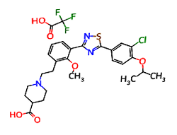 COc1c(CCN2CCC(C(=O)O)CC2)cccc1-c1nsc(-c2ccc(OC(C)C)c(Cl)c2)n1.O=C(O)C(F)(F)F